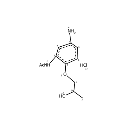 CC(=O)Nc1cc(N)ccc1OCC(C)O.Cl